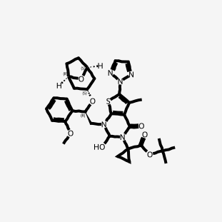 COc1ccccc1[C@H](CN1c2sc(-n3nccn3)c(C)c2C(=O)N(C2(C(=O)OC(C)(C)C)CC2)C1O)O[C@@H]1C[C@H]2CC[C@@H](C1)O2